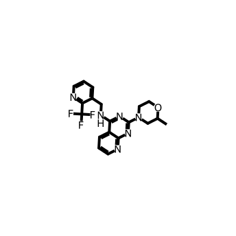 CC1CN(c2nc(NCc3cccnc3C(F)(F)F)c3cccnc3n2)CCO1